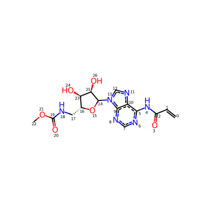 C=CC(=O)Nc1ncnc2c1ncn2C1O[C@H](CNC(=O)OC)[C@@H](O)[C@H]1O